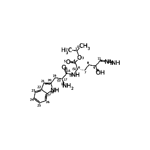 CC(C)OC(=O)[C@H](CCC(O)C=[N+]=N)NC(=O)[C@@H](N)Cc1cc2ccccc2[nH]1